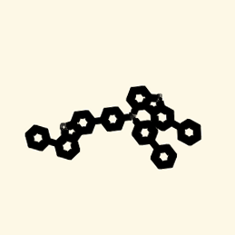 c1ccc(-c2ccc(N(c3ccc(-c4ccc5oc6c(-c7ccccc7)cccc6c5c4)cc3)c3cccc4sc5cc(-c6ccccc6)ccc5c34)cc2)cc1